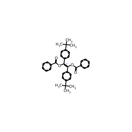 CC(C)(C)c1ccc(/C(OC(=O)c2ccccc2)=C(\OC(=O)c2ccccc2)c2ccc(C(C)(C)C)cc2)cc1